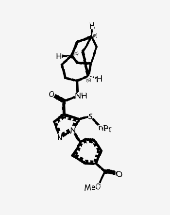 CCCSc1c(C(=O)NC2CC[C@H]3CC4C[C@@H](C3)C[C@@H]42)cnn1-c1ccc(C(=O)OC)cc1